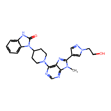 Cn1c(-c2cnn(CCO)c2)nc2c(N3CCC(n4c(=O)[nH]c5ccccc54)CC3)ncnc21